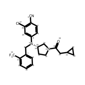 N#Cc1ccc(N(Cc2ccccc2C(F)(F)F)[C@H]2CCN(C(=O)CC3CC3)C2)cc1Cl